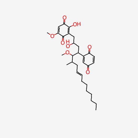 CCCCCCCC=CCC(C)C(OC)C(CC(O)CC1=C(O)C(=O)C=C(OC)C1=O)C1=CC(=O)C=CC1=O